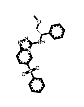 COC[C@@H](Nc1nnc2ccc(S(=O)(=O)c3ccccc3)cn12)c1ccccc1